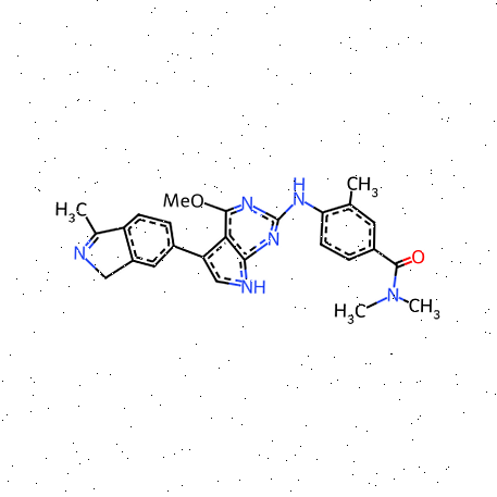 COc1nc(Nc2ccc(C(=O)N(C)C)cc2C)nc2[nH]cc(-c3ccc4c(c3)CN=C4C)c12